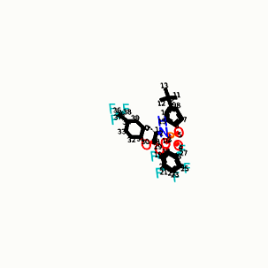 C[C@H](NP(=O)(Oc1ccc(C(C)(C)C)cc1)Oc1c(F)c(F)c(F)c(F)c1F)C(=O)OC1CCC(C(F)(F)F)CC1